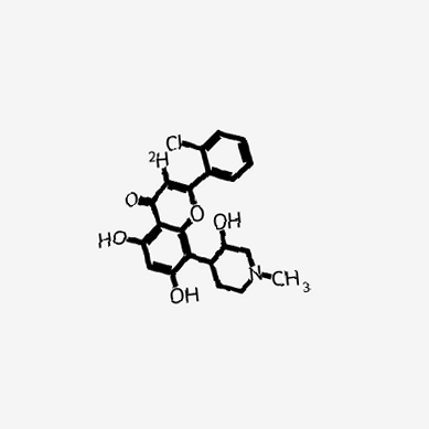 [2H]c1c(-c2ccccc2Cl)oc2c(C3CCN(C)CC3O)c(O)cc(O)c2c1=O